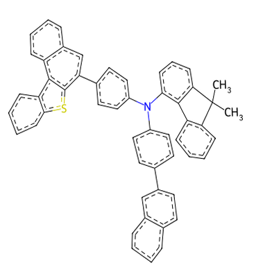 CC1(C)c2ccccc2-c2c(N(c3ccc(-c4ccc5ccccc5c4)cc3)c3ccc(-c4cc5ccccc5c5c4sc4ccccc45)cc3)cccc21